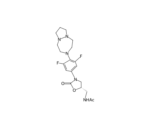 CC(=O)NC[C@H]1CN(c2cc(F)c(N3CCN4CCCN4CC3)c(F)c2)C(=O)O1